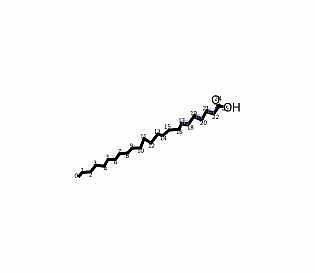 CCCCCCCCCCCCCCCCC/C=C/C=C/C=C/C(=O)O